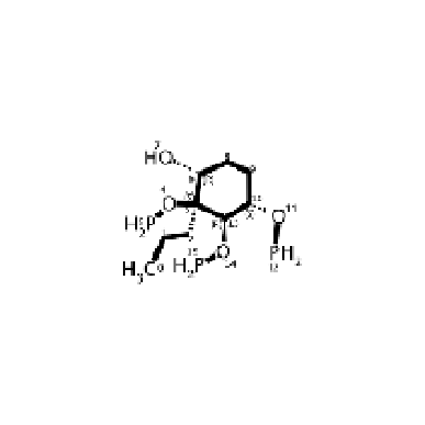 CCC[C@]1(OP)[C@H](O)CC[C@H](OP)[C@H]1OP